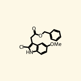 COc1ccc2[nH]c(Cl)c(CC(=O)OCc3ccccc3)c2c1